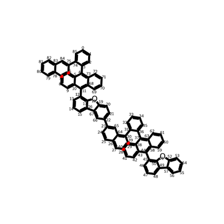 c1ccc(-c2c3ccccc3c(-c3cccc4c3oc3ccc(-c5ccc6cccc(-c7ccccc7-c7c8ccccc8c(-c8cccc9c8oc8ccccc89)c8ccccc78)c6c5)cc34)c3ccccc23)c(-c2ccc3ccccc3c2)c1